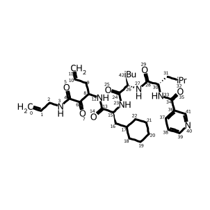 C=CCNC(=O)C(=O)C(CC=C)NC(=O)[C@H](CC1CCCCC1)NC(=O)[C@@H](NC(=O)[C@H](CC(C)C)NC(=O)c1cccnc1)[C@H](C)CC